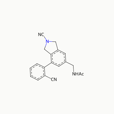 CC(=O)NCc1cc2c(c(-c3ccccc3C#N)c1)CN(C#N)C2